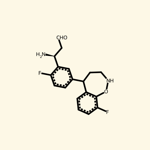 N[C@@H](CC=O)c1cc(C2CCNOc3c(F)cccc32)ccc1F